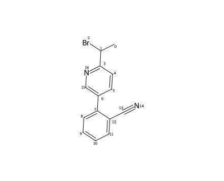 CC(Br)c1ccc(-c2ccccc2C#N)cn1